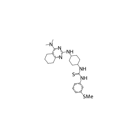 CSc1cccc(NC(=S)NC2CCC(Nc3nc4c(c(N(C)C)n3)CCCC4)CC2)c1